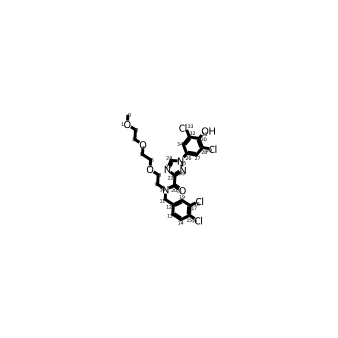 COCCOCCOCCN(Cc1ccc(Cl)c(Cl)c1)C(=O)c1ncn(-c2cc(Cl)c(O)c(Cl)c2)n1